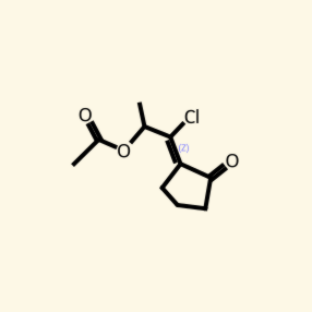 CC(=O)OC(C)/C(Cl)=C1\CCCC1=O